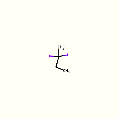 [CH2]C(I)(I)CC